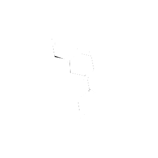 CC(C)(C)OC(=O)N1C[C@@H](CO)O[C@H](C(F)(F)F)C1